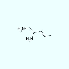 C/C=C/C(N)CN